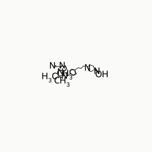 CC(C)(C)CN(Cc1ccc(CCCN2CCC(=NO)CC2)cc1)c1ccnc(C#N)n1